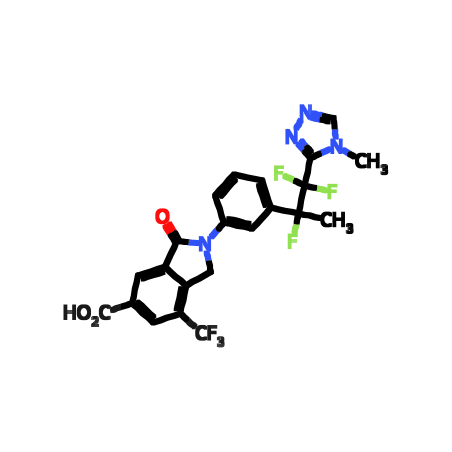 Cn1cnnc1C(F)(F)C(C)(F)c1cccc(N2Cc3c(cc(C(=O)O)cc3C(F)(F)F)C2=O)c1